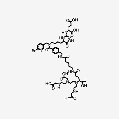 O=C(O)CC[C@@H](NC(=O)NC(CCCCN(Cc1ccc(Br)nc1)C(=O)c1ccc(CNC(=O)CCCCNC(=O)CCC(C(=O)O)N(CCNCC(=O)O)CCN(CCNCC(=O)O)CC(=O)O)cc1)C(=O)O)C(=O)O